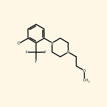 COCCN1CCN(c2cccc(Cl)c2C(F)(F)F)CC1